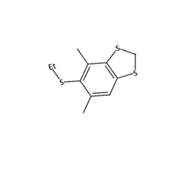 CCSc1c(C)cc2c(c1C)SCS2